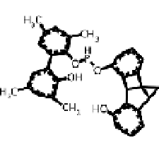 Cc1cc(C)c(O)c(-c2cc(C)cc(C)c2OPOc2cccc3c2C2c4c(O)cccc4C4CC342)c1